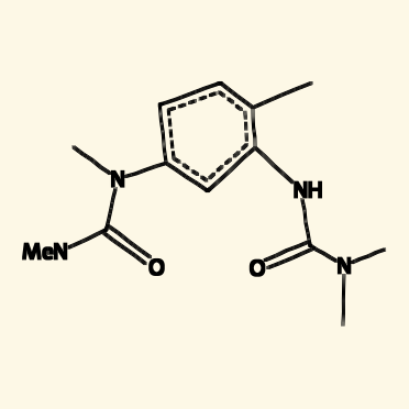 CNC(=O)N(C)c1ccc(C)c(NC(=O)N(C)C)c1